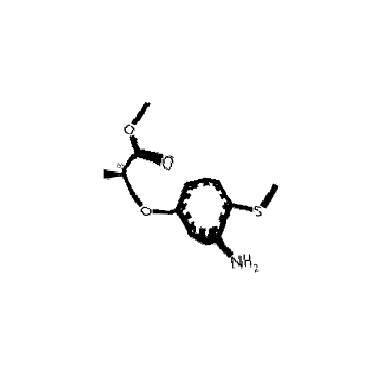 COC(=O)[C@H](C)Oc1ccc(SC)c(N)c1